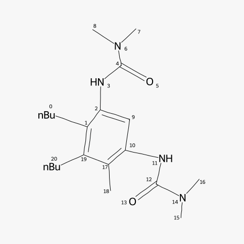 CCCCc1c(NC(=O)N(C)C)cc(NC(=O)N(C)C)c(C)c1CCCC